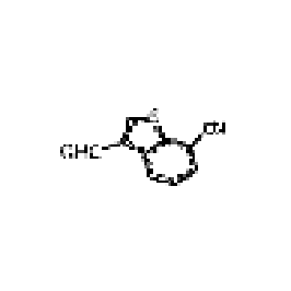 N#Cc1cccc2c(C=O)csc12